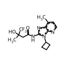 Cc1ccnc2c1nc(NC(=O)CC(C)(O)C(F)(F)F)n2C1CCC1